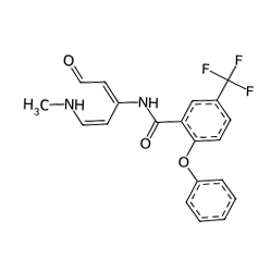 CN/C=C\C(=C/C=O)NC(=O)c1cc(C(F)(F)F)ccc1Oc1ccccc1